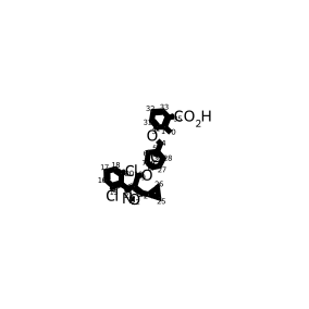 Cc1c(OCC23CCC(OCc4c(-c5c(Cl)cccc5Cl)noc4C4CC4)(CC2)CC3)cccc1C(=O)O